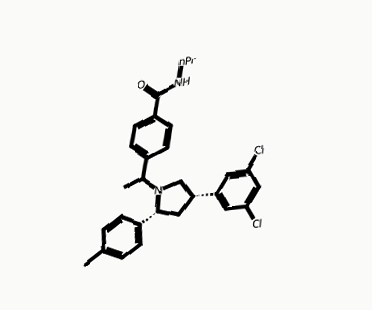 CCCNC(=O)c1ccc(C(C)N2C[C@H](c3cc(Cl)cc(Cl)c3)C[C@@H]2c2ccc(C)cc2)cc1